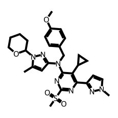 COc1ccc(CN(c2cc(C)n(C3CCCCO3)n2)c2nc(S(C)(=O)=O)nc(-c3ccn(C)n3)c2C2CC2)cc1